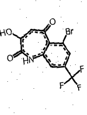 O=c1[nH]c2cc(C(F)(F)F)cc(Br)c2c(=O)cc1O